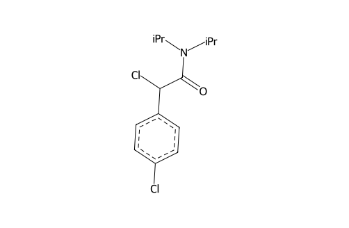 CC(C)N(C(=O)C(Cl)c1ccc(Cl)cc1)C(C)C